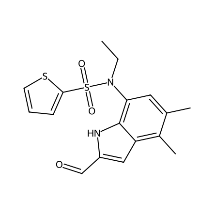 CCN(c1cc(C)c(C)c2cc(C=O)[nH]c12)S(=O)(=O)c1cccs1